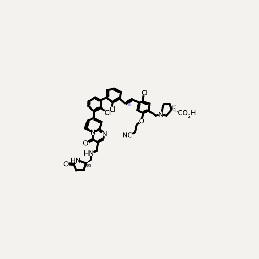 N#CCCOc1cc(/C=C/c2cccc(-c3cccc(-c4ccn5c(=O)c(CNC[C@H]6CCC(=O)N6)cnc5c4)c3Cl)c2Cl)c(Cl)cc1CN1CC[C@H](C(=O)O)C1